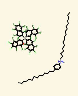 CCCCCCCCCCCCCCCCCC[NH+](C)c1ccc(CCCCCCCCCCCCCC)cc1.Fc1c(F)c(F)c2c(F)c([B-](c3c(F)c(F)c4c(F)c(F)c(F)c(F)c4c3F)(c3c(F)c(F)c4c(F)c(F)c(F)c(F)c4c3F)c3c(F)c(F)c4c(F)c(F)c(F)c(F)c4c3F)c(F)c(F)c2c1F